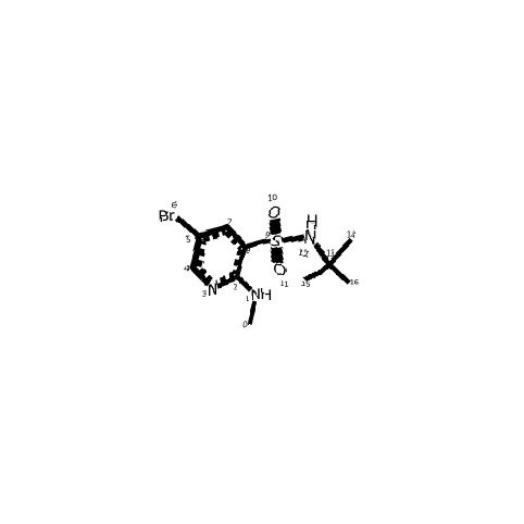 CNc1ncc(Br)cc1S(=O)(=O)NC(C)(C)C